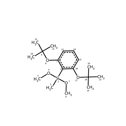 CO[Si](C)(OC)c1c(OC(C)(C)C)cccc1OC(C)(C)C